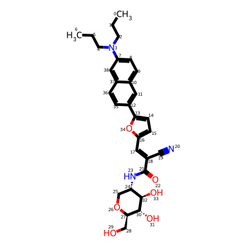 CCCN(CCC)c1ccc2cc(-c3ccc(/C=C(\C#N)C(=O)N[C@H]4CO[C@H](CO)[C@@H](O)[C@@H]4O)o3)ccc2c1